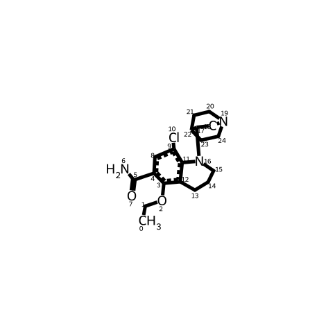 CCOc1c(C(N)=O)cc(Cl)c2c1CCCN2C1CN2CCC1CC2